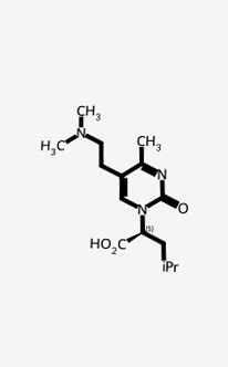 Cc1nc(=O)n([C@@H](CC(C)C)C(=O)O)cc1CCN(C)C